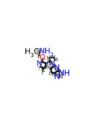 C[C@H](N)COc1ncc(F)cc1C1CCCN1c1ccc2nc[nH]c2n1